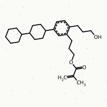 C=C(C)C(=O)OCCCc1cc(C2CCC(C3CCCCC3)CC2)ccc1CCCO